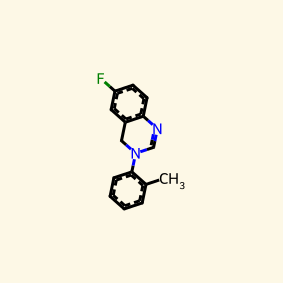 Cc1ccccc1N1C=Nc2ccc(F)cc2C1